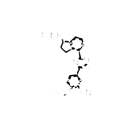 CC(=O)NC1CCc2c(-c3noc(-c4ccc(OC(C)C)c(C#N)c4)n3)cccc21